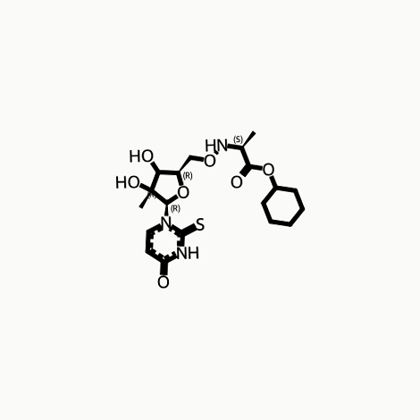 C[C@H](NOC[C@H]1O[C@@H](n2ccc(=O)[nH]c2=S)[C@](C)(O)C1O)C(=O)OC1CCCCC1